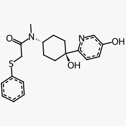 CN(C(=O)CSc1ccccc1)[C@H]1CC[C@@](O)(c2ccc(O)cn2)CC1